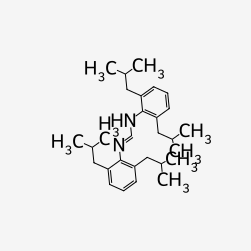 CC(C)Cc1cccc(CC(C)C)c1N=CNc1c(CC(C)C)cccc1CC(C)C